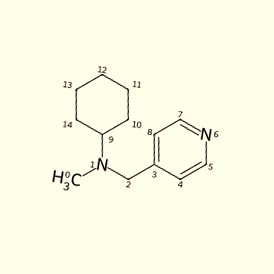 CN(Cc1ccncc1)C1CCCCC1